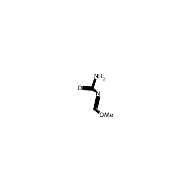 COC=NC(N)=O